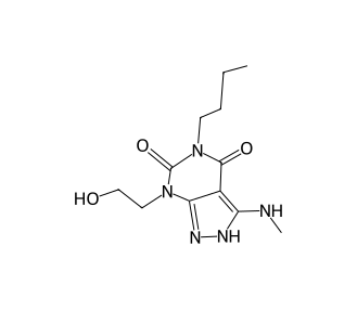 CCCCn1c(=O)c2c(NC)[nH]nc2n(CCO)c1=O